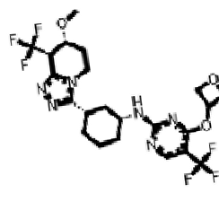 CO[C@@H]1CCn2c([C@H]3CCC[C@@H](Nc4ncc(C(F)(F)F)c(OC5COC5)n4)C3)nnc2[C@H]1C(F)(F)F